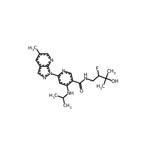 Cc1cnc2c(cnn2-c2cc(NC(C)C)c(C(=O)NCC(F)C(C)(C)O)cn2)c1